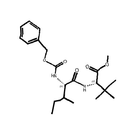 CCC(C)[C@H](NC(=O)OCc1ccccc1)C(=O)N[C@H](C(=O)OC)C(C)(C)C